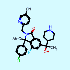 COC1(c2ccc(Cl)cc2)c2c(F)cc(C(C)(O)C3CCNCC3)cc2C(=O)N1Cc1ccc(C#N)cn1